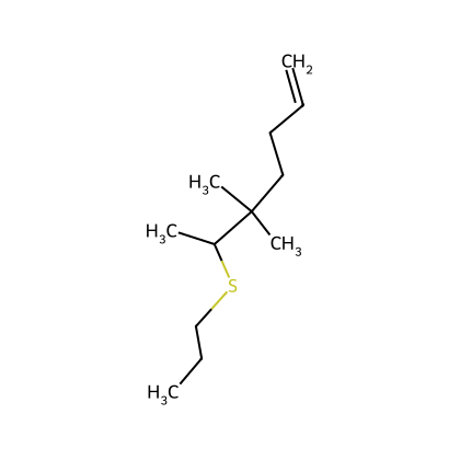 C=CCCC(C)(C)C(C)SCCC